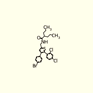 CCCC(CCC)C(=O)NCc1cc(-c2ccc(Br)cc2)c(-c2ccc(Cl)cc2Cl)s1